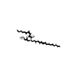 CCCCCCCCCCCCCCCCN(CC(O)CO)C(=O)CCC(C)CCCCCC